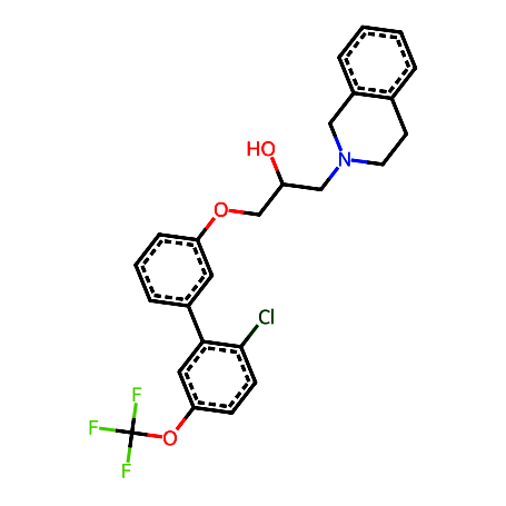 OC(COc1cccc(-c2cc(OC(F)(F)F)ccc2Cl)c1)CN1CCc2ccccc2C1